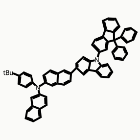 CC(C)(C)c1ccc(N(c2ccc3ccccc3c2)c2ccc3cc(-c4ccc5c(c4)c4ccccc4n5-c4ccc5c(c4)C(c4ccccc4)(c4ccccc4)c4ccccc4-5)ccc3c2)cc1